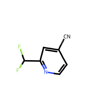 N#Cc1ccnc(C(F)F)c1